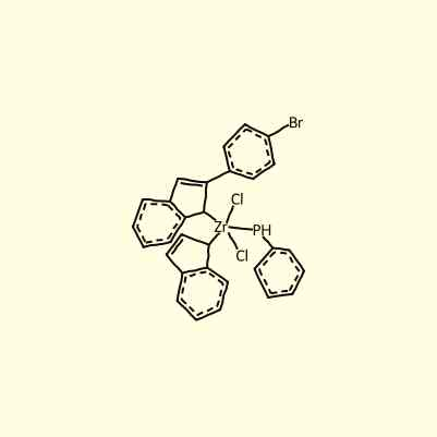 [Cl][Zr]([Cl])([PH]c1ccccc1)([CH]1C=Cc2ccccc21)[CH]1C(c2ccc(Br)cc2)=Cc2ccccc21